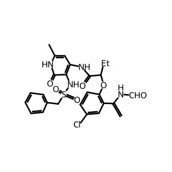 C=C(NC=O)c1cc(Cl)ccc1OC(CC)C(=O)Nc1cc(C)[nH]c(=O)c1NS(=O)(=O)Cc1ccccc1